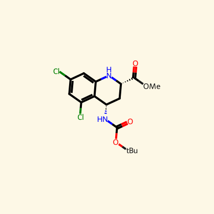 COC(=O)[C@@H]1C[C@H](NC(=O)OC(C)(C)C)c2c(Cl)cc(Cl)cc2N1